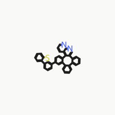 c1ccc2c(c1)-c1ccccc1-c1cnc3ncccc3c1-c1ccc(-c3cccc4c3sc3ccccc34)cc1-2